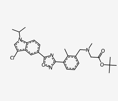 Cc1c(CN(C)CC(=O)OC(C)(C)C)cccc1-c1noc(-c2ccc3c(c2)c(Cl)cn3C(C)C)n1